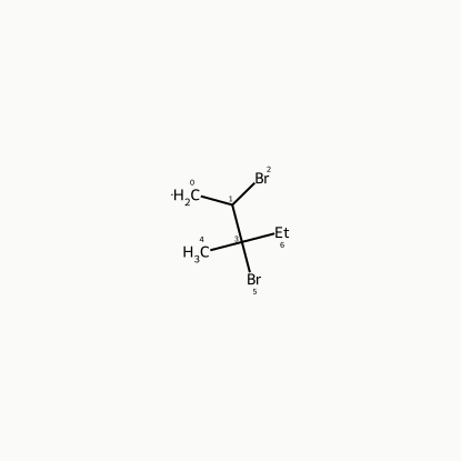 [CH2]C(Br)C(C)(Br)CC